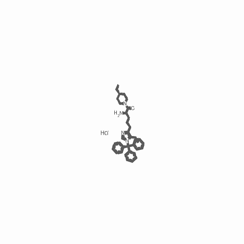 CCc1c(CCCC(N)C(=O)N2CCC(CC)CC2)ncn1C(c1ccccc1)(c1ccccc1)c1ccccc1.Cl